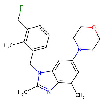 Cc1c(CF)cccc1Cn1c(C)nc2c(C)cc(N3CCOCC3)cc21